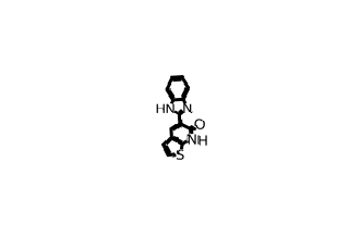 O=c1[nH]c2sccc2cc1-c1nc2ccccc2[nH]1